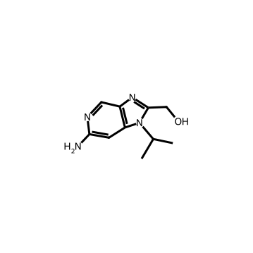 CC(C)n1c(CO)nc2cnc(N)cc21